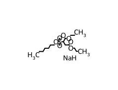 CCCCCCCOS(=O)(=O)C(CC(=O)OCCC)C(=O)OCCC.[NaH]